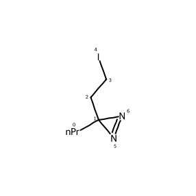 CCCC1(CCI)N=N1